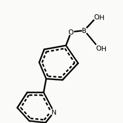 OB(O)Oc1ccc(-c2ccccn2)cc1